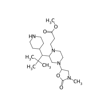 COC(=O)CCN1CCN(C2CN(C)C(=O)O2)CC1C(C1CCNCC1)C(C)(C)C